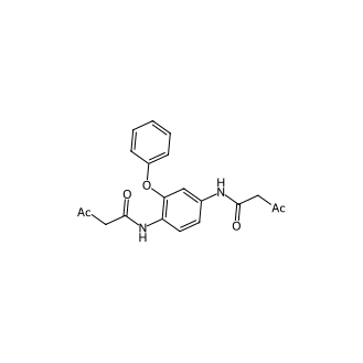 CC(=O)CC(=O)Nc1ccc(NC(=O)CC(C)=O)c(Oc2ccccc2)c1